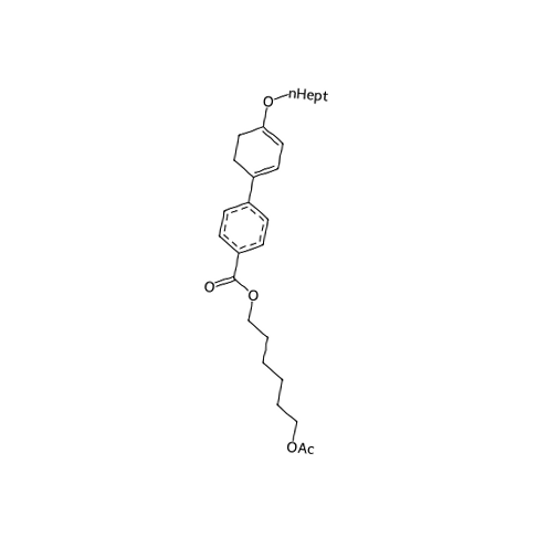 CCCCCCCOC1=CC=C(c2ccc(C(=O)OCCCCCCOC(C)=O)cc2)CC1